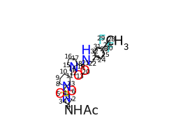 CC(=O)NC1CN(S(=O)(=O)N2CCC[C@H](C(=O)N3CCC[C@@H]3C(=O)NCc3ccc(C(C)(F)F)cc3)C2)C1